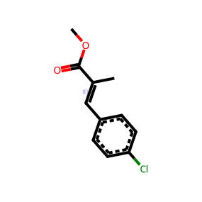 COC(=O)/C(C)=C/c1ccc(Cl)cc1